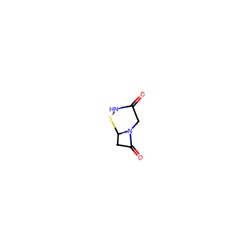 O=C1CN2C(=O)CC2SN1